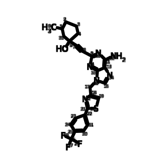 CC1CCCC(O)(C#Cc2nc(N)c3ncn(Cc4csc(-c5ccc(C(F)(F)F)cc5)n4)c3n2)C1